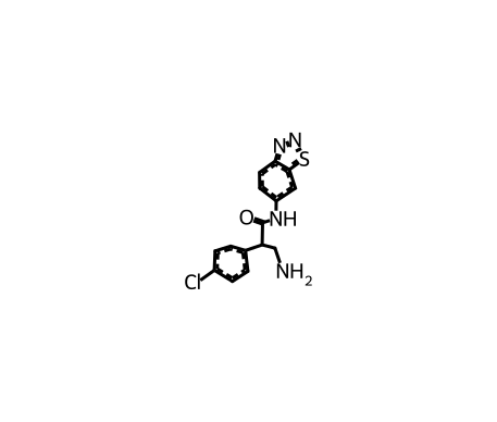 NCC(C(=O)Nc1ccc2nnsc2c1)c1ccc(Cl)cc1